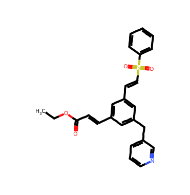 CCOC(=O)/C=C/c1cc(/C=C/S(=O)(=O)c2ccccc2)cc(Cc2cccnc2)c1